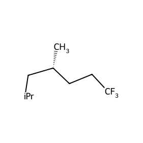 CC(C)C[C@H](C)CCC(F)(F)F